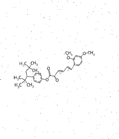 COc1ccc(/C=C/C=C/C(=O)C(=O)Oc2ccc(C(CC(C)(C)C)C(C)(C)C)cc2)c(OC)c1